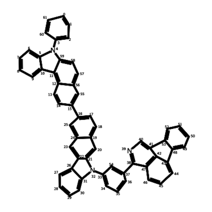 c1ccc(-n2c3ccccc3c3c4ccc(-c5ccc6cc7c(cc6c5)c5ccccc5n7-c5cccc(-c6ncc7c8c(cccc68)-c6ccccc6-7)c5)cc4ccc32)cc1